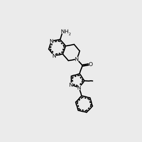 Cc1c(C(=O)N2CCc3c(N)ncnc3C2)cnn1-c1ccccc1